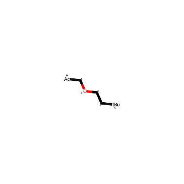 CC(=O)COCCC(C)(C)C